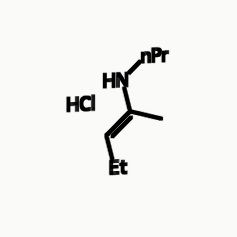 CC/C=C(\C)NCCC.Cl